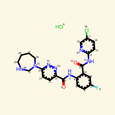 Cl.O=C(Nc1ccc(F)cc1C(=O)Nc1ccc(Cl)cn1)c1ccc(N2CCCCNC2)nn1